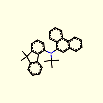 CC1(C)c2ccccc2-c2c(N(c3cc4ccccc4c4ccccc34)C(C)(C)C)cccc21